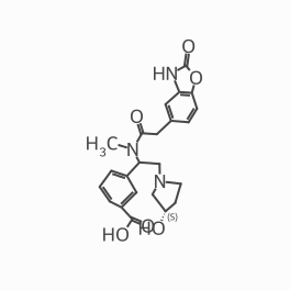 CN(C(=O)Cc1ccc2oc(=O)[nH]c2c1)C(CN1CC[C@H](O)C1)c1cccc(C(=O)O)c1